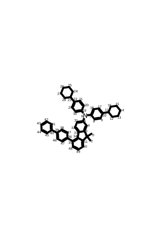 CC1(C)c2cc(N(c3ccc(C4CCCCC4)cc3)c3ccc(C4CCCCC4)cc3)ccc2-c2c(-c3ccc(-c4ccccc4)cc3)cccc21